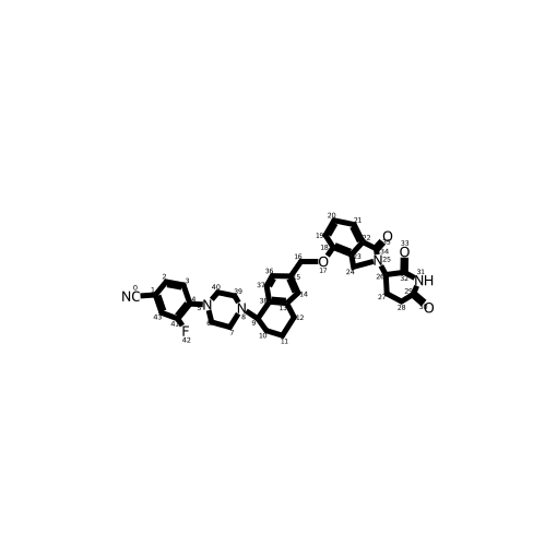 N#Cc1ccc(N2CCN(C3CCCc4cc(COc5cccc6c5CN(C5CCC(=O)NC5=O)C6=O)ccc43)CC2)c(F)c1